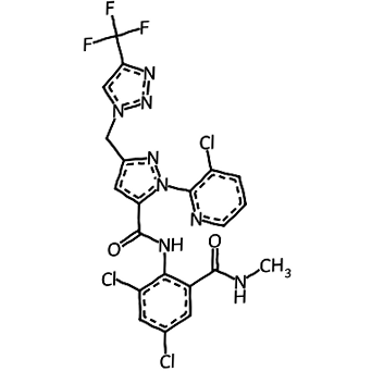 CNC(=O)c1cc(Cl)cc(Cl)c1NC(=O)c1cc(Cn2cc(C(F)(F)F)nn2)nn1-c1ncccc1Cl